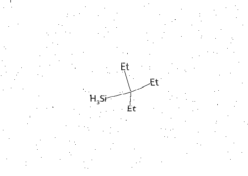 CCC([SiH3])(CC)CC